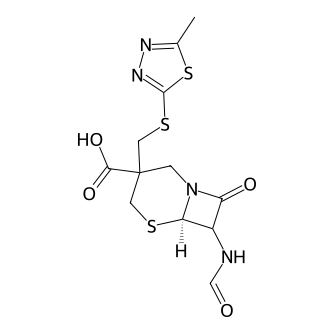 Cc1nnc(SCC2(C(=O)O)CS[C@@H]3C(NC=O)C(=O)N3C2)s1